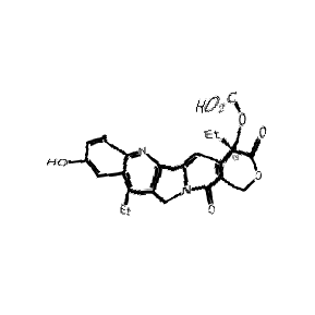 CCc1c2c(nc3ccc(O)cc13)-c1cc3c(c(=O)n1C2)COC(=O)[C@@]3(CC)OC(=O)O